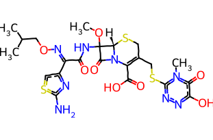 COC1(NC(=O)C(=NOCC(C)C)c2csc(N)n2)C(=O)N2C(C(=O)O)=C(CSc3nnc(O)c(=O)n3C)CS[C@H]21